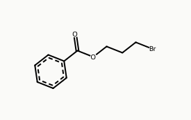 O=C(OCCCBr)c1ccccc1